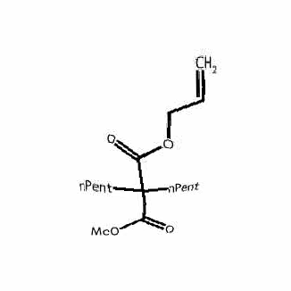 C=CCOC(=O)C(CCCCC)(CCCCC)C(=O)OC